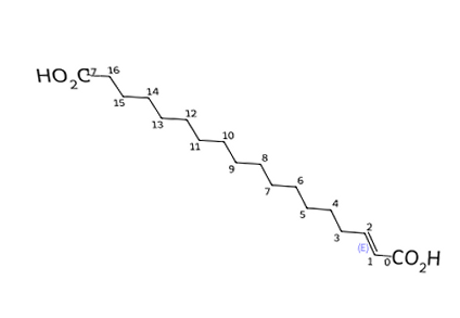 O=C(O)/C=C/CCCCCCCCCCCCCCC(=O)O